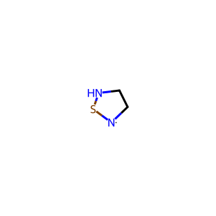 C1CNS[N]1